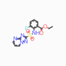 CCOC(=O)c1cccc(F)c1NS(=O)(=O)c1nc2ncccn2n1